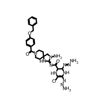 NN=NC1=C(Cl)NC(C(=O)/N=C2/NC3(CCN(C(=O)c4ccc(OCc5ccccc5)cc4)CC3)CN2N)C(N=NN)N1